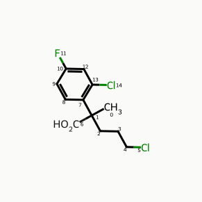 CC(CCCCl)(C(=O)O)c1ccc(F)cc1Cl